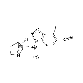 COc1ccc2c(N[C@H]3CN4CCC3CC4)noc2c1F.Cl